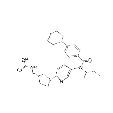 CCC(C)N(C(=O)c1ccc(C2CCCCC2)cc1)c1ccc(N2CCC(CNC(=O)O)C2)nc1